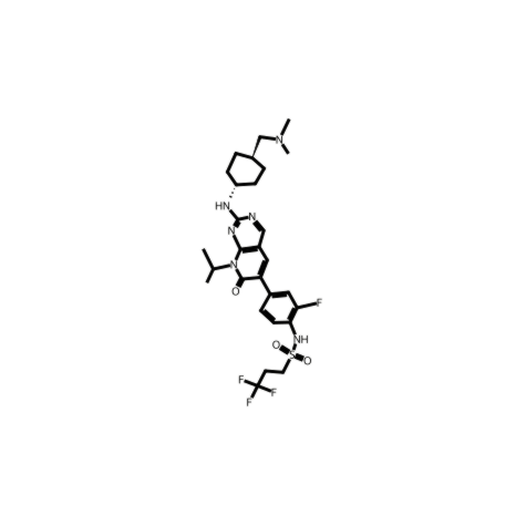 CC(C)n1c(=O)c(-c2ccc(NS(=O)(=O)CCC(F)(F)F)c(F)c2)cc2cnc(N[C@H]3CC[C@H](CN(C)C)CC3)nc21